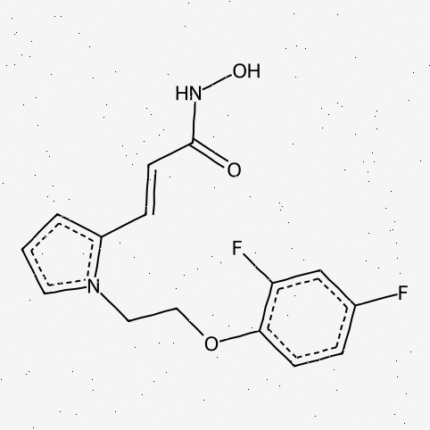 O=C(C=Cc1cccn1CCOc1ccc(F)cc1F)NO